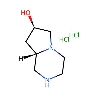 Cl.Cl.O[C@@H]1C[C@H]2CNCCN2C1